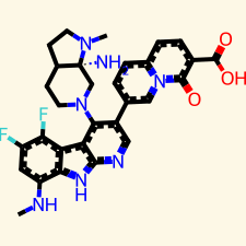 CNc1cc(F)c(F)c2c1[nH]c1ncc(-c3ccc4ccc(C(=O)O)c(=O)n4c3)c(N3CCC4CCN(C)[C@@]4(N)C3)c12